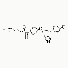 CCCCCC(=O)Nc1ccc(OC(CCc2ccc(Cl)cc2)Cn2ccnc2)cc1